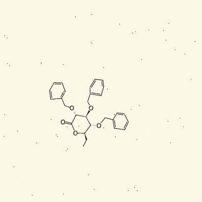 CC[C@H]1OC(=O)[C@H](OCc2ccccc2)[C@@H](OCc2ccccc2)[C@@H]1OCc1ccccc1